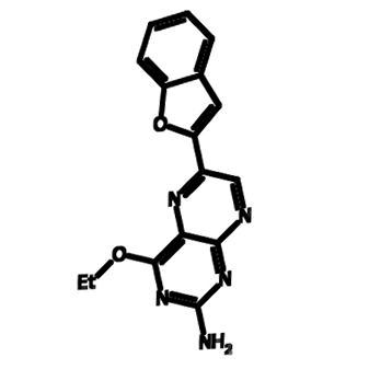 CCOc1nc(N)nc2ncc(-c3cc4ccccc4o3)nc12